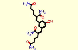 NC(=O)CCCC(=Cc1cc(O)cc(C=C(CCCC(N)=O)C(N)=O)c1)C(N)=O